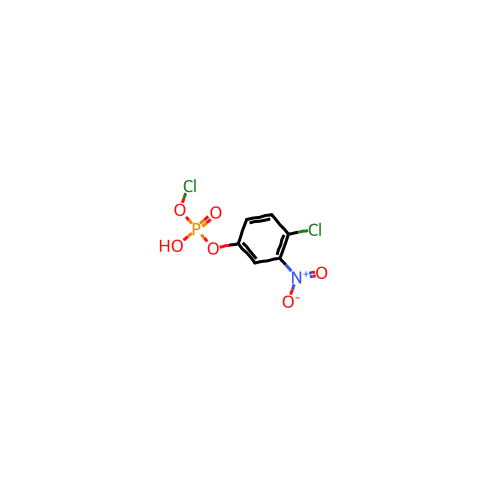 O=[N+]([O-])c1cc(OP(=O)(O)OCl)ccc1Cl